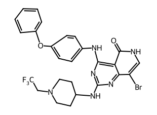 O=c1[nH]cc(Br)c2nc(NC3CCN(CC(F)(F)F)CC3)nc(Nc3ccc(Oc4ccccc4)cc3)c12